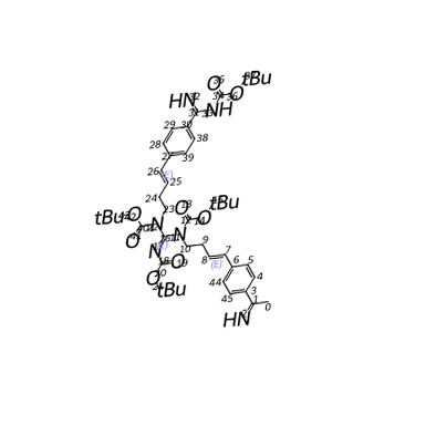 CC(=N)c1ccc(/C=C/CCN(C(=O)OC(C)(C)C)/C(=N\C(=O)OC(C)(C)C)N(CC/C=C/c2ccc(C(=N)NC(=O)OC(C)(C)C)cc2)C(=O)OC(C)(C)C)cc1